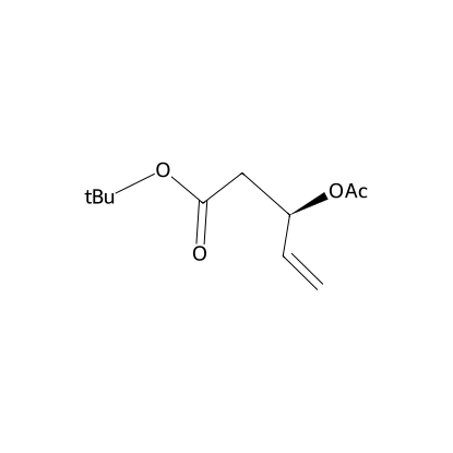 C=C[C@@H](CC(=O)OC(C)(C)C)OC(C)=O